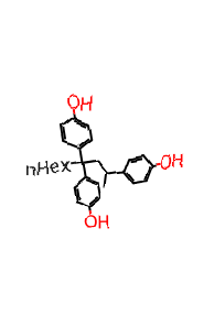 CCCCCCC(CC(C)c1ccc(O)cc1)(c1ccc(O)cc1)c1ccc(O)cc1